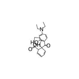 CCN(CC)c1ccc(C(=O)C2(C3CCCCC3)C=CC=CC2C(=O)O)c(O)c1